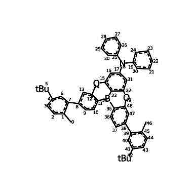 Cc1ccc(C(C)(C)C)cc1-c1ccc2c(c1)Oc1cc(N(c3ccccc3)c3ccccc3)cc3c1B2c1ccc(-c2cc(C(C)(C)C)ccc2C)cc1O3